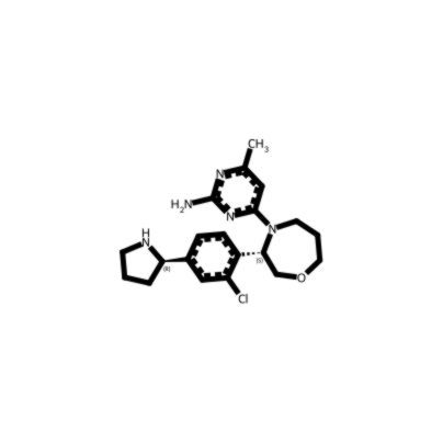 Cc1cc(N2CCCOC[C@@H]2c2ccc([C@H]3CCCN3)cc2Cl)nc(N)n1